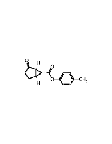 Cc1ccc(OC(=O)[C@@H]2[C@H]3CCC(=O)[C@H]32)cc1